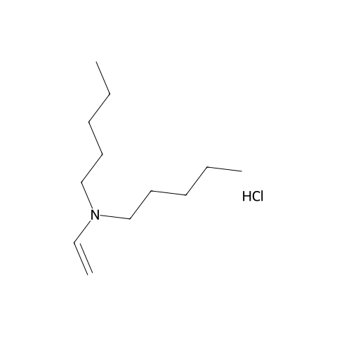 C=CN(CCCCC)CCCCC.Cl